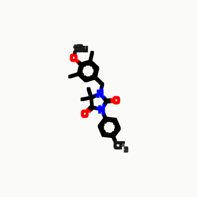 Cc1cc(CN2C(=O)N(c3ccc(C(F)(F)F)cc3)C(=O)C2(C)C)cc(C)c1OC(C)(C)C